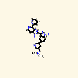 CN(C)Cc1cncc(-c2ccc3[nH]nc(-c4nc5c(-c6ccccn6)nccc5[nH]4)c3c2)c1